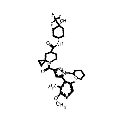 COc1ncc(F)c(-c2cc(C(=O)N3CCC(C(=O)N[C@H]4CC[C@@](O)(C(F)(F)F)CC4)CC34CC4)nn2C2CCCCO2)c1C